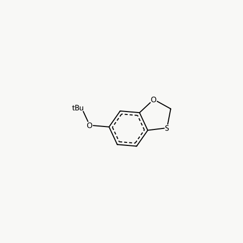 CC(C)(C)Oc1ccc2c(c1)OCS2